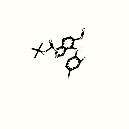 CC(C)(C)OC(=O)n1ncc2c(Nc3ccc(I)cc3F)c(N=O)ccc21